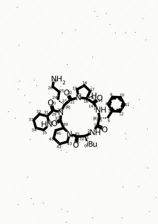 CCC(C)[C@@H]1NC(=O)[C@@H](Cc2ccccc2)NC(=O)[C@@H]2CCCN2C(=O)[C@@H](CCCN)N(C(=O)C2CCCCN2)C(=O)C2CCCCN2C1=O